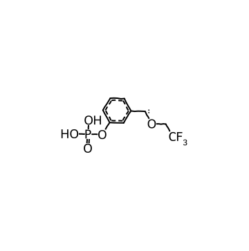 O=P(O)(O)Oc1cccc([C]OCC(F)(F)F)c1